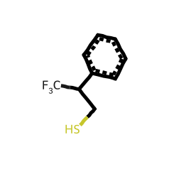 FC(F)(F)C(CS)c1ccccc1